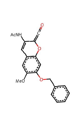 COc1cc2c(cc1OCc1ccccc1)OC(=C=O)C(NC(C)=O)=C2